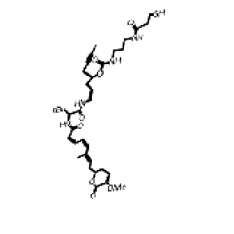 CC#CCC(C/C=C\NC(=O)C(NC(=O)\C=C/C=C\C(C)=C\CC1CC=C(OC)C(=O)O1)C(C)(C)C)OC(=O)NCCCNC(=O)CCS